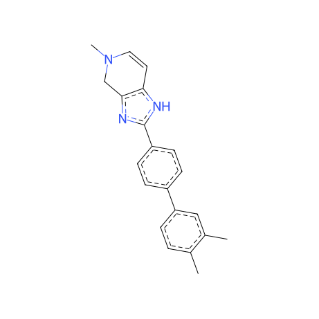 Cc1ccc(-c2ccc(-c3nc4c([nH]3)C=CN(C)C4)cc2)cc1C